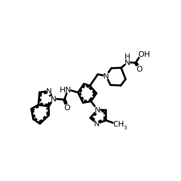 Cc1cn(-c2cc(CN3CCCC(NC(=O)O)C3)cc(NC(=O)n3ncc4ccccc43)c2)cn1